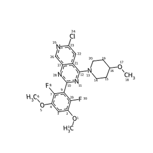 COc1cc(OC)c(F)c(-c2nc(N3CCC(OC)CC3)c3cc(Cl)ncc3n2)c1F